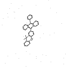 CC1(C)c2ccccc2Oc2ccc(-c3c4ccccc4c(-c4ccccc4)c4ccccc34)cc21